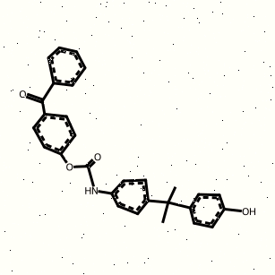 CC(C)(c1ccc(O)cc1)c1ccc(NC(=O)Oc2ccc(C(=O)c3ccccc3)cc2)cc1